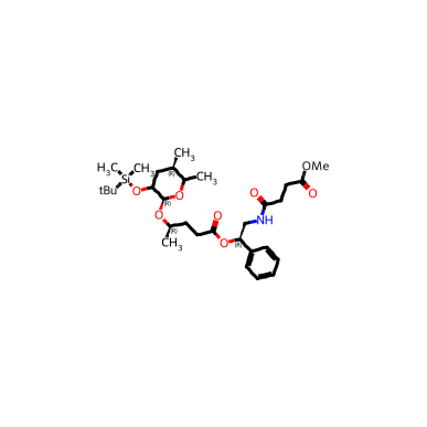 COC(=O)CCC(=O)NC[C@H](OC(=O)CC[C@@H](C)O[C@@H]1OC(C)[C@H](C)CC1O[Si](C)(C)C(C)(C)C)c1ccccc1